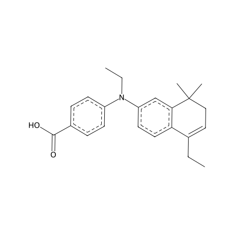 CCC1=CCC(C)(C)c2cc(N(CC)c3ccc(C(=O)O)cc3)ccc21